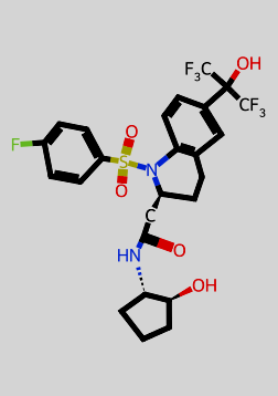 O=C(C[C@@H]1CCc2cc(C(O)(C(F)(F)F)C(F)(F)F)ccc2N1S(=O)(=O)c1ccc(F)cc1)N[C@H]1CCC[C@@H]1O